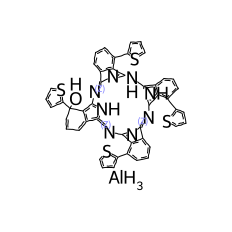 OC1(c2cccs2)C=CC=c2c1c1[nH]\c2=N/C2=N\C(=N/c3[nH]c(c4cccc(-c5cccs5)c34)NC3=N/C(=N\1)c1cccc(-c4cccs4)c13)c1cccc(-c3cccs3)c12.[AlH3]